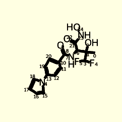 CC(O)(C(F)F)C(NC(=O)c1ccc(-n2cccc2)cc1)C(=O)NO